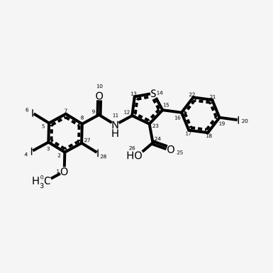 COc1c(I)c(I)cc(C(=O)Nc2csc(-c3ccc(I)cc3)c2C(=O)O)c1I